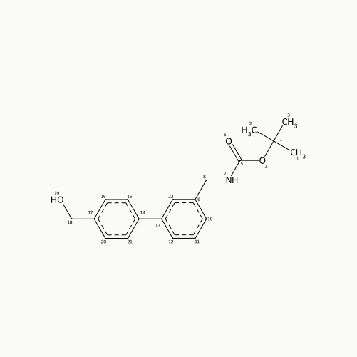 CC(C)(C)OC(=O)NCc1cccc(-c2ccc(CO)cc2)c1